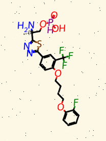 C[C@](N)(CO[PH](=O)O)c1nnc(-c2ccc(OCCCCOc3ccccc3F)c(C(F)(F)F)c2)s1